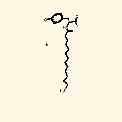 CCCCCCCCCCCCCC(=O)N[C@@H](Cc1ccc(O)cc1)C(=O)[O-].[Na+]